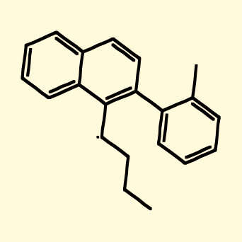 CCC[CH]c1c(-c2ccccc2C)ccc2ccccc12